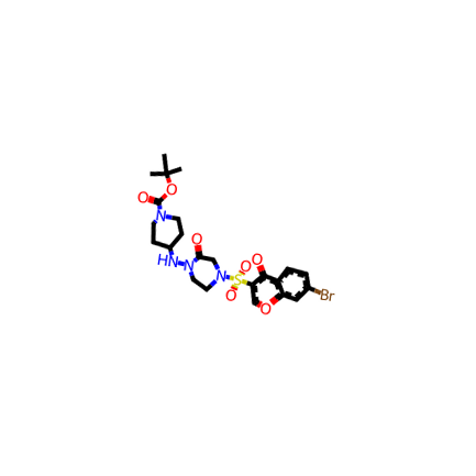 CC(C)(C)OC(=O)N1CCC(NN2CCN(S(=O)(=O)c3coc4cc(Br)ccc4c3=O)CC2=O)CC1